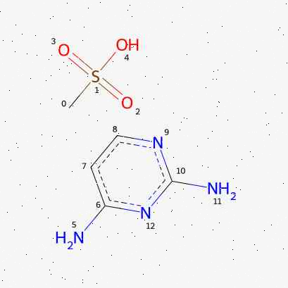 CS(=O)(=O)O.Nc1ccnc(N)n1